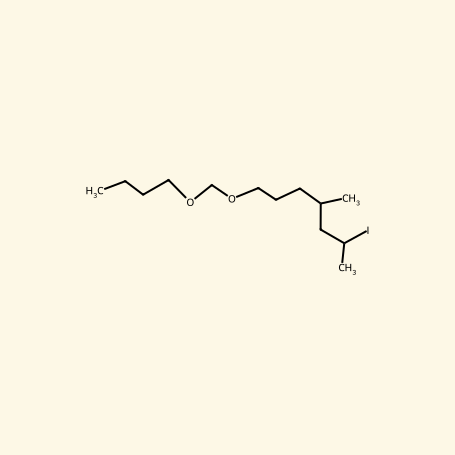 CCCCOCOCCCC(C)CC(C)I